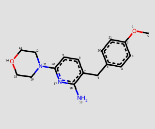 COc1ccc(Cc2ccc(N3CCOCC3)nc2N)cc1